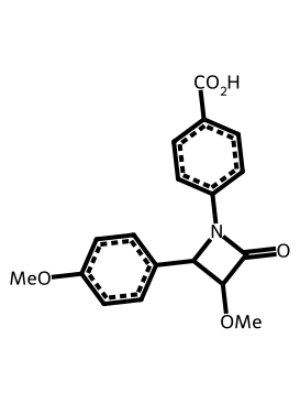 COc1ccc(C2C(OC)C(=O)N2c2ccc(C(=O)O)cc2)cc1